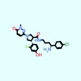 Cn1nc(N2CC(C(=O)NCCC[C@H](N)C3C=CC(Cl)=CC3)[C@H](c3ccc(O)cc3F)C2)ccc1=O